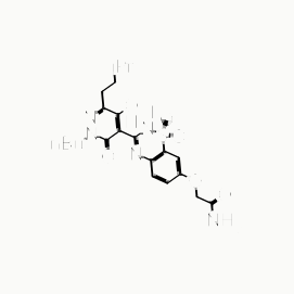 CCCCn1nc(CCC(C)C)c(O)c(C2=Nc3ccc(OCC(N)=O)cc3S(=O)(=O)N2)c1=O